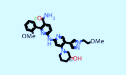 COCCn1cc(-c2cnc(Nc3ccc(C(N)=O)c(-c4c(F)cccc4OC)n3)cc2N2CCC[C@H](O)C2)cn1